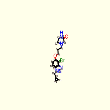 O=C1CN(CCCOc2ccc3c(nnn3CC3CC3)c2Br)CCN1